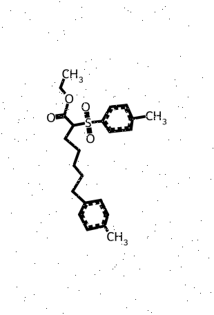 CCOC(=O)C(CCCCCc1ccc(C)cc1)S(=O)(=O)c1ccc(C)cc1